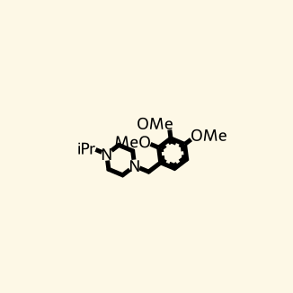 COc1ccc(CN2CCN(C(C)C)CC2)c(OC)c1OC